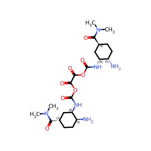 CN(C)C(=O)[C@H]1CC[C@H](N)[C@H](NC(=O)OC(=O)C(=O)OC(=O)N[C@@H]2C[C@@H](C(=O)N(C)C)CC[C@@H]2N)C1